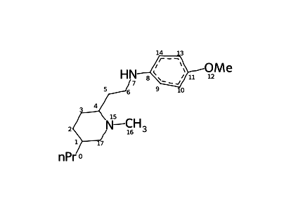 CCCC1CCC(CCNc2ccc(OC)cc2)N(C)C1